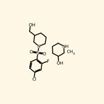 C.O=S(=O)(c1ccc(Cl)cc1F)N1CCCC(CO)C1.OC1CCCNC1